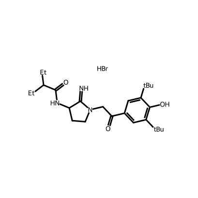 Br.CCC(CC)C(=O)NC1CCN(CC(=O)c2cc(C(C)(C)C)c(O)c(C(C)(C)C)c2)C1=N